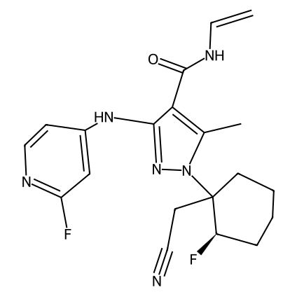 C=CNC(=O)c1c(Nc2ccnc(F)c2)nn(C2(CC#N)CCCC[C@H]2F)c1C